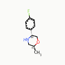 C[C@H]1CN[C@H](c2ccc(F)cc2)CO1